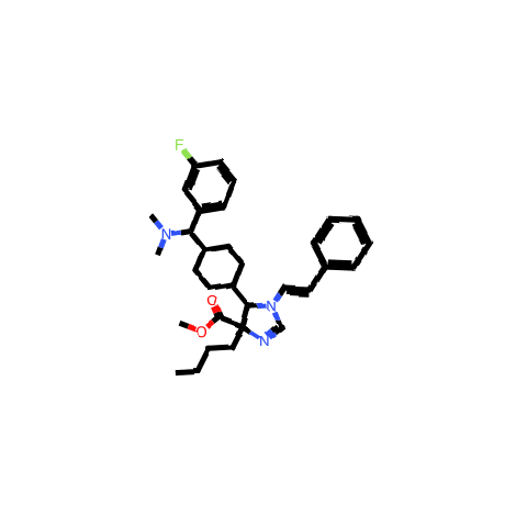 CCCCC1(C(=O)OC)N=CN(C=Cc2ccccc2)C1C1CCC(C(c2cccc(F)c2)N(C)C)CC1